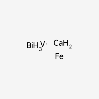 [BiH3].[CaH2].[Fe].[V]